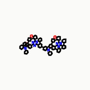 c1ccc(-c2cccc(-c3nc(-c4ccc(-c5ccc6c(c5)c5cc(-c7ccc8oc9cccc(-c%10nc(-c%11ccccc%11-c%11ccccc%11)nc(-c%11ccccc%11-c%11ccccc%11)n%10)c9c8c7)ccc5n6-c5ccccc5)cc4-c4ccccc4)nc(-c4cccc5oc6ccc(-c7ccc8c(c7)c7ccccc7n8-c7ccccc7)cc6c45)n3)c2)cc1